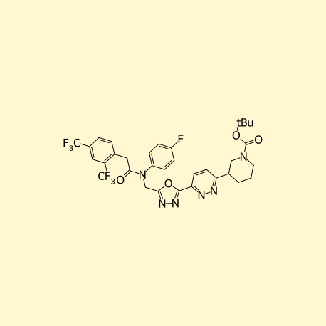 CC(C)(C)OC(=O)N1CCCC(c2ccc(-c3nnc(CN(C(=O)Cc4ccc(C(F)(F)F)cc4C(F)(F)F)c4ccc(F)cc4)o3)nn2)C1